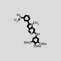 COc1cc(Nc2cc3c(cn2)cc(-c2cccc(N(C)C(C)=O)c2)n3C)cc(OC)c1OC